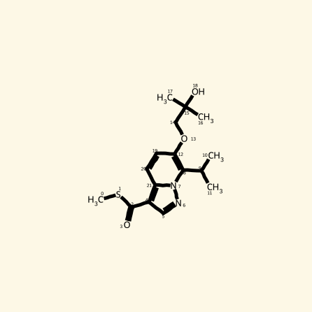 CSC(=O)c1cnn2c(C(C)C)c(OCC(C)(C)O)ccc12